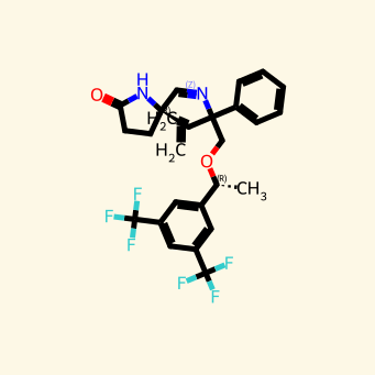 C=CC(CO[C@H](C)c1cc(C(F)(F)F)cc(C(F)(F)F)c1)(/N=C\[C@]1(C=C)CCC(=O)N1)c1ccccc1